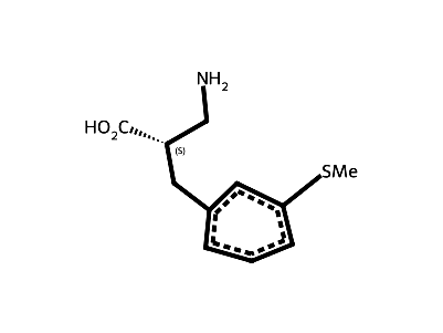 CSc1cccc(C[C@@H](CN)C(=O)O)c1